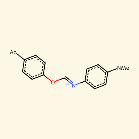 CNc1ccc(/N=C/Oc2ccc(C(C)=O)cc2)cc1